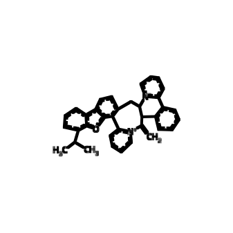 C=C1C2c3ccccc3-c3cccc[n+]3C2Cc2ccc3c(oc4c(C(C)C)cccc43)c2-c2cccc[n+]21